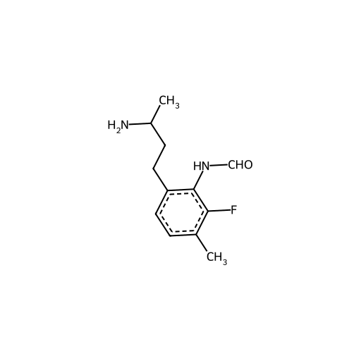 Cc1ccc(CCC(C)N)c(NC=O)c1F